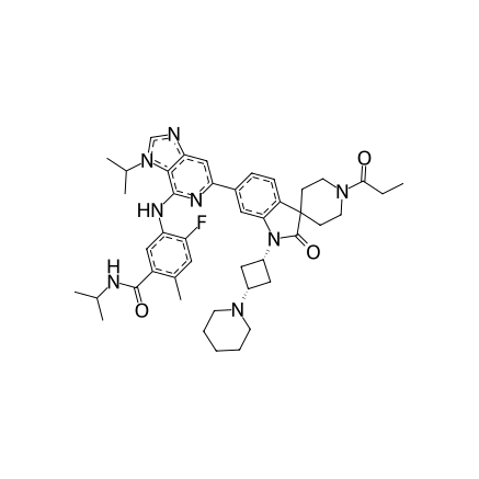 CCC(=O)N1CCC2(CC1)C(=O)N([C@H]1C[C@@H](N3CCCCC3)C1)c1cc(-c3cc4ncn(C(C)C)c4c(Nc4cc(C(=O)NC(C)C)c(C)cc4F)n3)ccc12